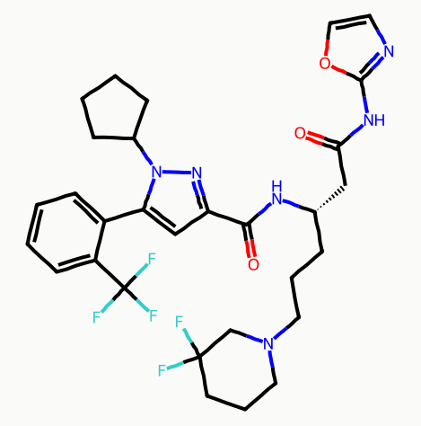 O=C(C[C@H](CCCN1CCCC(F)(F)C1)NC(=O)c1cc(-c2ccccc2C(F)(F)F)n(C2CCCC2)n1)Nc1ncco1